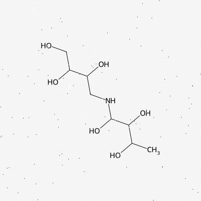 CC(O)C(O)C(O)NCC(O)C(O)CO